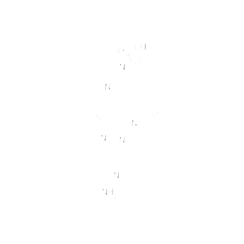 CS(=O)(=O)N1CCN(Cc2cc3c(N4CCOCC4)nc(-c4ccc(N)nc4)nc3s2)CC1